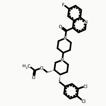 CC(=O)OC[C@@H]1CN(C2CCN(C(=O)c3ccnc4ccc(F)cc34)CC2)CC[C@@H]1Cc1ccc(Cl)c(Cl)c1